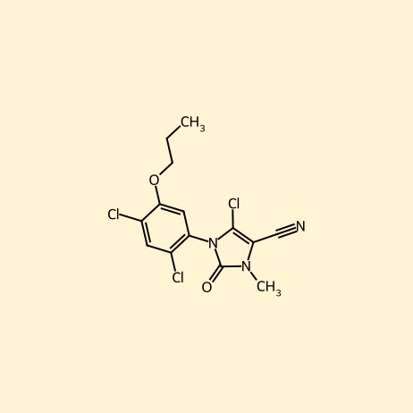 CCCOc1cc(-n2c(Cl)c(C#N)n(C)c2=O)c(Cl)cc1Cl